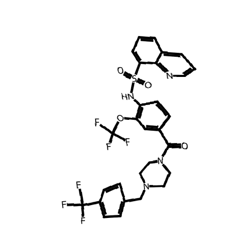 O=C(c1ccc(NS(=O)(=O)c2cccc3cccnc23)c(OC(F)(F)F)c1)N1CCN(Cc2ccc(C(F)(F)F)cc2)CC1